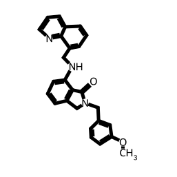 COc1cccc(CN2Cc3cccc(NCc4cccc5cccnc45)c3C2=O)c1